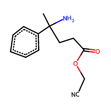 CC(N)(CCC(=O)OCC#N)c1ccccc1